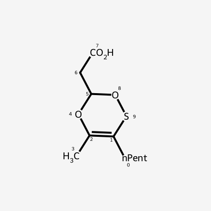 CCCCCC1=C(C)OC(CC(=O)O)OS1